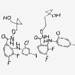 O=C(NOCC1(CO)CC1)c1ccc(F)c(F)c1Nc1ccc(I)cc1Cl.O=C(NOCCC1(O)CC1)c1ccc(F)c(F)c1Nc1ccc(I)cc1Cl